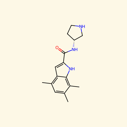 Cc1cc(C)c2cc(C(=O)N[C@@H]3CCNC3)[nH]c2c1C